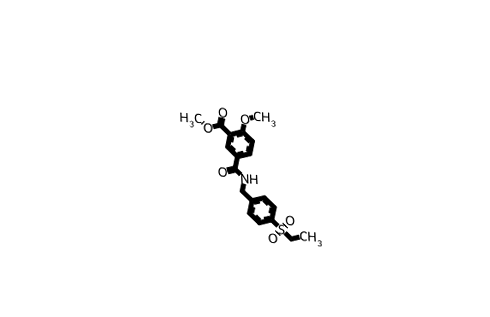 CCS(=O)(=O)c1ccc(CNC(=O)c2ccc(OC)c(C(=O)OC)c2)cc1